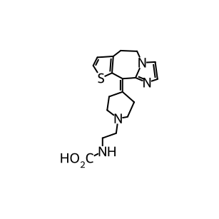 O=C(O)NCCN1CCC(=C2c3sccc3CCn3ccnc32)CC1